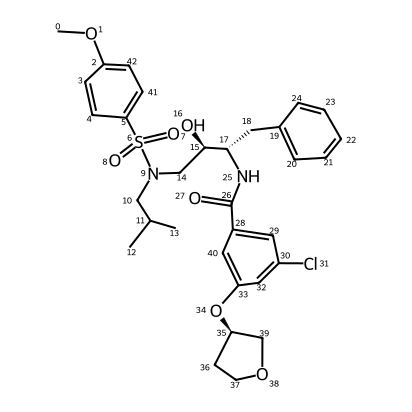 COc1ccc(S(=O)(=O)N(CC(C)C)C[C@@H](O)[C@H](Cc2ccccc2)NC(=O)c2cc(Cl)cc(O[C@@H]3CCOC3)c2)cc1